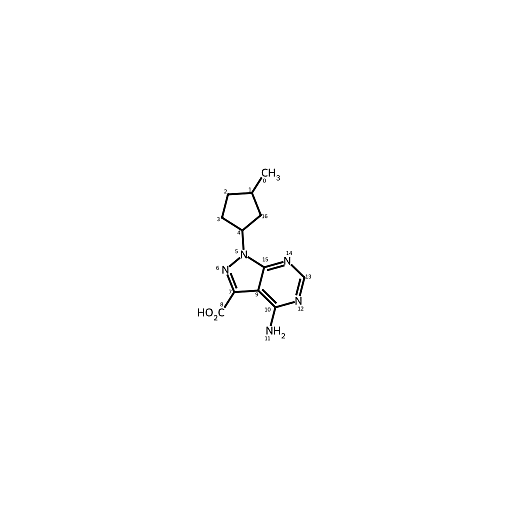 CC1CCC(n2nc(C(=O)O)c3c(N)ncnc32)C1